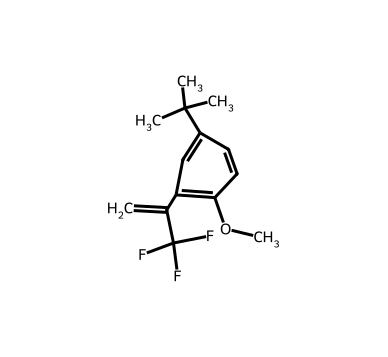 C=C(c1cc(C(C)(C)C)ccc1OC)C(F)(F)F